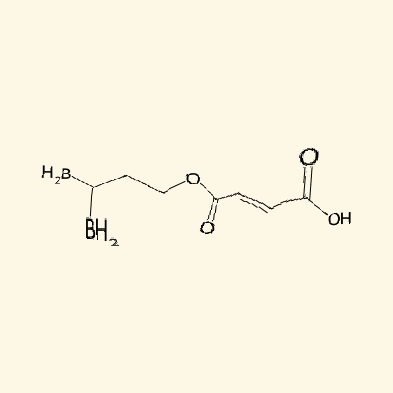 BC(B)CCOC(=O)/C=C/C(=O)O